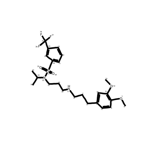 COc1ccc(CCCNCCCN(C(C)C)S(=O)(=O)c2cccc(C(F)(F)F)c2)cc1OC